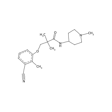 Cc1c(C#N)cccc1OCC(C)(C)C(=O)NC1CCN(C)CC1